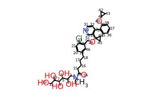 CN(CC(O)C(O)C(O)C(O)CO)C(=O)CCCCc1ccc(Cl)c(COC2(c3cnccc3-c3ccccc3OC3CC3)CC2)c1